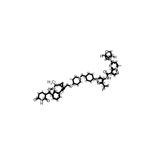 C[C@@H](C1CC1)n1nc(C2CCC(=O)NC2=O)c2cccc(C#CCOC3CCN(CC4CCC(n5cc(NC(=O)c6cnn7ccc(N8C[C@H]9C[C@@H]8CO9)nc67)c(C(F)F)n5)CC4)CC3)c21